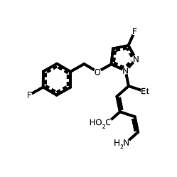 CCC(/C=C(\C=C/N)C(=O)O)n1nc(F)cc1OCc1ccc(F)cc1